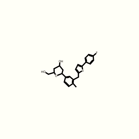 Cc1ccc(C2CC(O)CC(CO)O2)cc1Cc1ccc(-c2ccc(F)cc2)s1